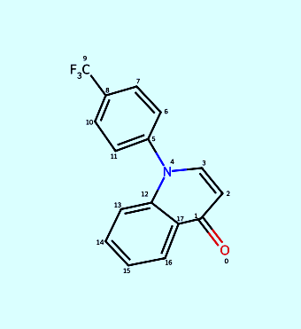 O=c1ccn(-c2ccc(C(F)(F)F)cc2)c2ccccc12